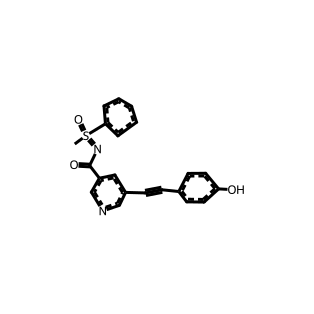 CS(=O)(=NC(=O)c1cncc(C#Cc2ccc(O)cc2)c1)c1ccccc1